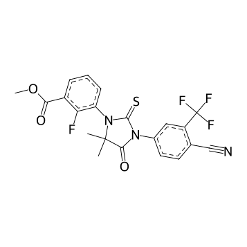 COC(=O)c1cccc(N2C(=S)N(c3ccc(C#N)c(C(F)(F)F)c3)C(=O)C2(C)C)c1F